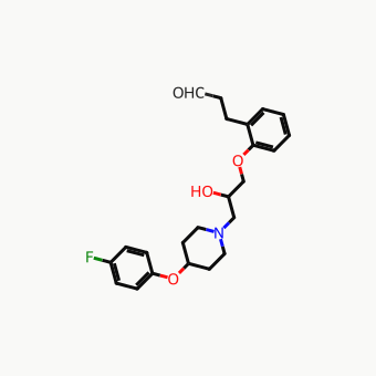 O=CCCc1ccccc1OCC(O)CN1CCC(Oc2ccc(F)cc2)CC1